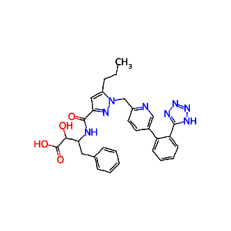 CCCc1cc(C(=O)NC(Cc2ccccc2)C(O)C(=O)O)nn1Cc1ccc(-c2ccccc2-c2nnn[nH]2)cn1